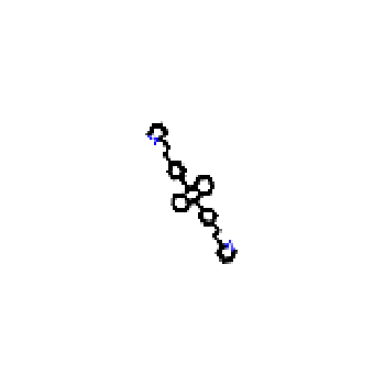 C(=C\c1ccccn1)/c1ccc(-c2c3ccccc3c(-c3ccc(CCc4ccccn4)cc3)c3ccccc23)cc1